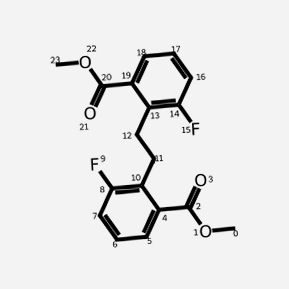 COC(=O)c1cccc(F)c1[CH]Cc1c(F)cccc1C(=O)OC